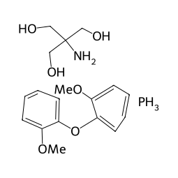 COc1ccccc1Oc1ccccc1OC.NC(CO)(CO)CO.P